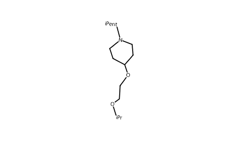 CCCC(C)N1CCC(OCCOC(C)C)CC1